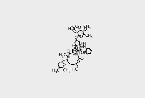 CC[C@H]1CCC[C@H](O[C@H]2CC[C@H](C)C(C)O2)[C@@H](C)C(=O)C2=C[C@H]3[C@@H]4C[C@H](O[C@@H]5OC(C)[C@H](OC)C(OC)C5OC)C[C@H]4[C@@H](Nc4ccccc4)[C@H](O)[C@H]3[C@@H]2CC(=O)O1